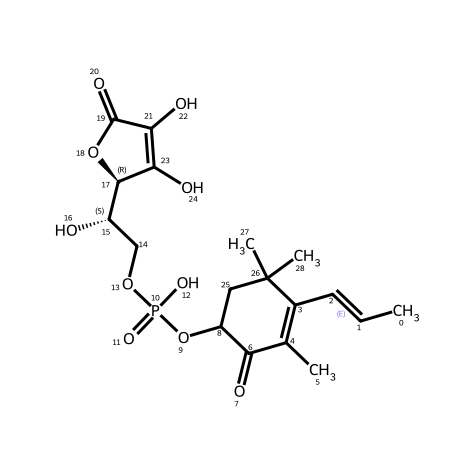 C/C=C/C1=C(C)C(=O)C(OP(=O)(O)OC[C@H](O)[C@H]2OC(=O)C(O)=C2O)CC1(C)C